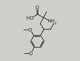 CCC(CC(C)(N)C(=O)O)c1ccc(OC)cc1OC